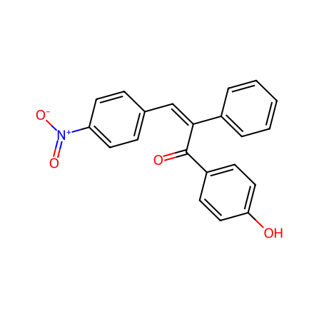 O=C(C(=Cc1ccc([N+](=O)[O-])cc1)c1ccccc1)c1ccc(O)cc1